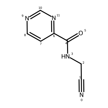 N#CCNC(=O)c1ccncn1